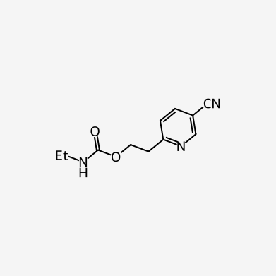 CCNC(=O)OCCc1ccc(C#N)cn1